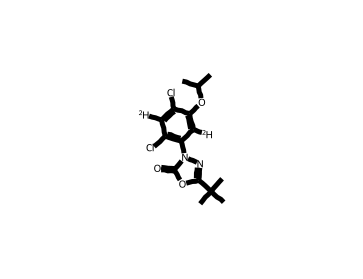 [2H]c1c(Cl)c(OC(C)C)c([2H])c(-n2nc(C(C)(C)C)oc2=O)c1Cl